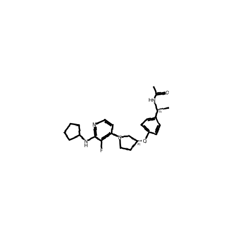 CC(=O)N[C@@H](C)c1ccc(O[C@@H]2CCN(c3ccnc(NC4CCCC4)c3F)C2)cc1